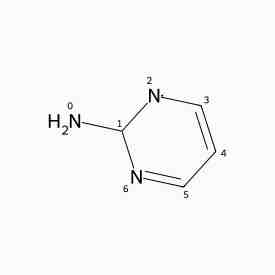 NC1[N]C=CC=N1